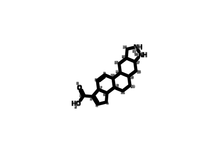 O=C(O)C1=CCC2C1C=CC1C3CC4CNNC4CC3CCC12